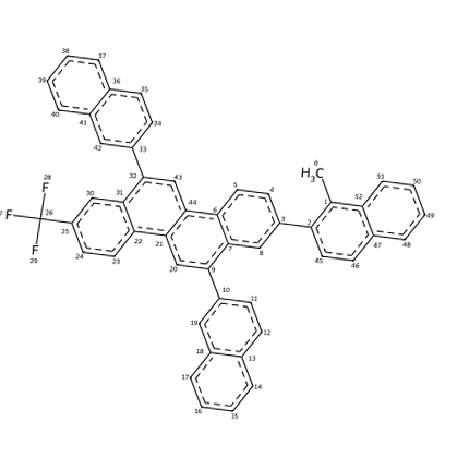 Cc1c(-c2ccc3c(c2)c(-c2ccc4ccccc4c2)cc2c4ccc(C(F)(F)F)cc4c(-c4ccc5ccccc5c4)cc32)ccc2ccccc12